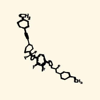 C=CC1CCC(CC(F)COc2ccc(OC(F)(F)C3CCC(C#CC4CCC(C)CC4)CC3)c(F)c2F)CC1